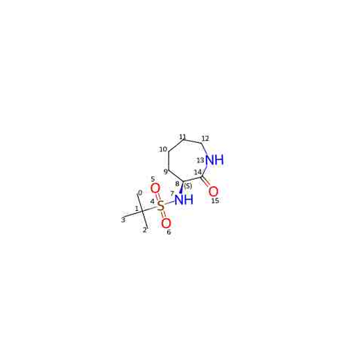 CC(C)(C)S(=O)(=O)N[C@H]1CCCCNC1=O